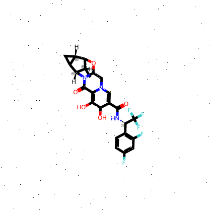 C[C@H]1C2OC3CN4C=C(C(=O)N[C@@H](c5ccc(F)cc5F)C(F)(F)F)C(O)C(O)=C4C(=O)N3[C@@H]1C1C[C@@H]12